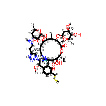 CC[C@H]1OC(=O)[C@H](C)[C@@H](O[C@H]2C[C@@](C)(OC)[C@@H](O)[C@H](C)O2)[C@H](C)[C@@H](O[C@@H]2O[C@H](C)C[C@H](N(C)CCc3cn([C@H](CF)[C@H](OC)c4ccc(CSC)cc4)nn3)[C@H]2O)[C@](C)(O)C[C@@H](C)CN(C)[C@H](C)[C@@H](O)[C@]1(C)O